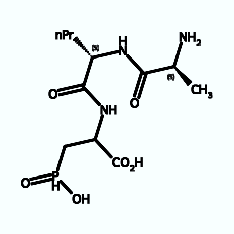 CCC[C@H](NC(=O)[C@H](C)N)C(=O)NC(C[PH](=O)O)C(=O)O